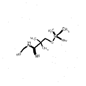 CC(C)(CO[Si](C)(C)C(C)(C)C)C(=N)NO